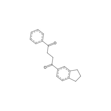 O=C(CCC(=O)c1ccc2c(c1)CCC2)c1ccccc1